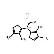 CC[O][Zr+2]([C]1=C(C)C(C)=CC1)[C]1=C(C)C(C)=CC1.[Cl-].[Cl-]